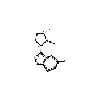 C[C@H]1CC[C@@H](c2nnc3ccc(F)cn23)N1C